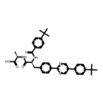 C[C@@H](NC(=O)[C@H](Cc1ccc(-c2ncc(-c3ccc(C(C)(C)C)cc3)cn2)cc1)NC(=O)c1ccc(C(C)(C)C)cc1)C(=O)O